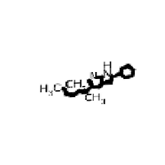 C=C(C)/C=C\C=C(/C)c1cnc2[nH]c(-c3ccccc3)cc2c1